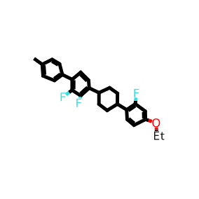 CCOc1ccc(C2CCC(c3ccc(-c4ccc(C)cc4)c(F)c3F)CC2)c(F)c1